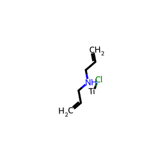 C=CCNCC=C.[Cl][Ti]